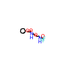 O=C(COC1/C=C\CCCCC1)NCCOCCNC(=O)C(F)(F)F